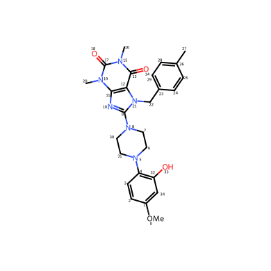 COc1ccc(N2CCN(c3nc4c(c(=O)n(C)c(=O)n4C)n3Cc3ccc(C)cc3)CC2)c(O)c1